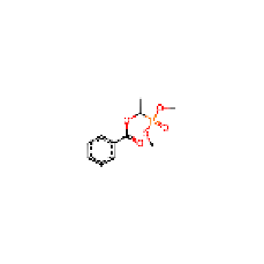 COP(=O)(OC)C(C)OC(=O)c1ccccc1